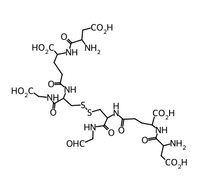 NC(CC(=O)O)C(=O)NC(CCC(=O)NC(CSSCC(NC(=O)CCC(NC(=O)C(N)CC(=O)O)C(=O)O)C(=O)NCC(=O)O)C(=O)NCC=O)C(=O)O